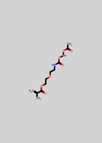 C=C(C)C(=O)OCCOCCNC(=O)OBOC(C)=O